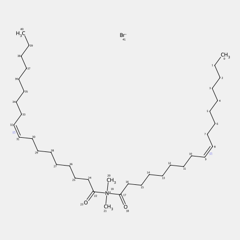 CCCCCCCC/C=C\CCCCCCCC(=O)[N+](C)(C)C(=O)CCCCCCC/C=C\CCCCCCCC.[Br-]